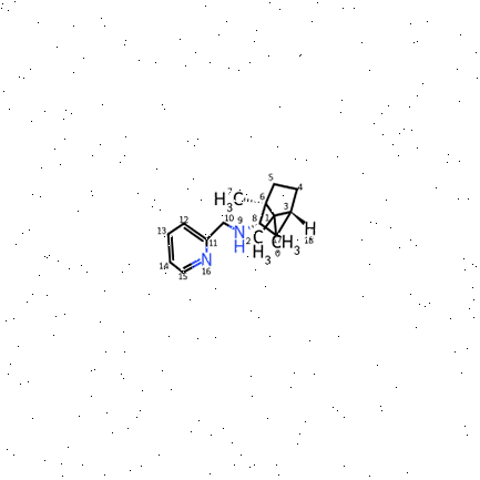 CC1(C)[C@@H]2CC[C@]1(C)[C@@H](NCc1ccccn1)C2